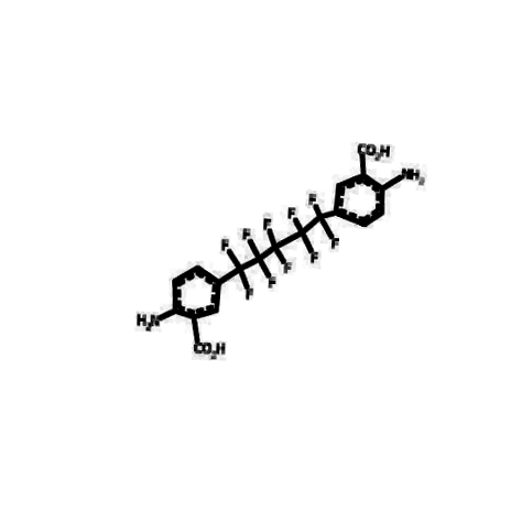 Nc1ccc(C(F)(F)C(F)(F)C(F)(F)C(F)(F)C(F)(F)c2ccc(N)c(C(=O)O)c2)cc1C(=O)O